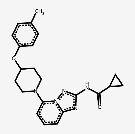 Cc1ccc(OC2CCN(c3cccc4nc(NC(=O)C5CC5)nn34)CC2)cc1